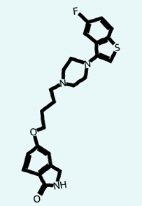 O=C1NCc2cc(OCCCCN3CCN(c4csc5ccc(F)cc45)CC3)ccc21